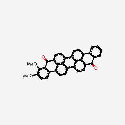 COc1ccc2c(c1OC)C(=O)c1ccc3c4ccc5c6c(ccc(c7ccc-2c1c37)c64)C(=O)c1ccccc1-5